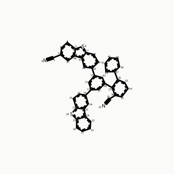 N#Cc1ccc2sc3ccc(-c4cc(-c5ccc6sc7ccccc7c6c5)cc(-c5c(C#N)cccc5-c5ccccc5)c4)cc3c2c1